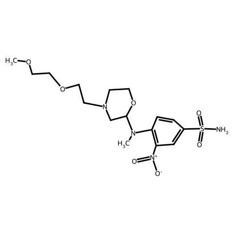 COCCOCCN1CCOC(N(C)c2ccc(S(N)(=O)=O)cc2[N+](=O)[O-])C1